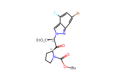 CCOC(=O)[C@H](C(=O)[C@@H]1CCCN1C(=O)OC(C)(C)C)n1cc2c(F)cc(Br)cc2n1